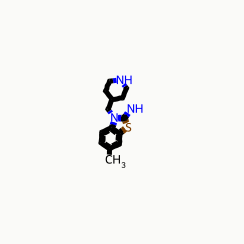 Cc1ccc2c(c1)sc(=N)n2CC1CCNCC1